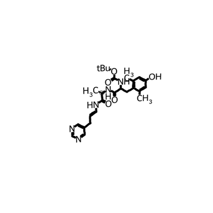 Cc1cc(O)cc(C)c1CC(NC(=O)OC(C)(C)C)C(=O)N[C@H](C)C(=O)NC=CCc1cncnc1